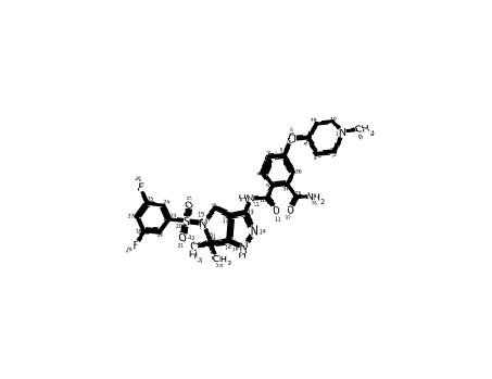 CN1CCC(Oc2ccc(C(=O)Nc3n[nH]c4c3CN(S(=O)(=O)c3cc(F)cc(F)c3)C4(C)C)c(C(N)=O)c2)CC1